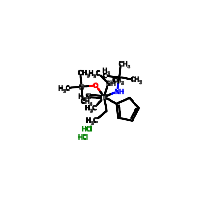 C[CH2][Ti]([CH3])(=[SiH2])([NH]C(C)(C)C)([O][Si](C)(C)C)([C]1=CC=CC1)[SiH](C)C.Cl.Cl